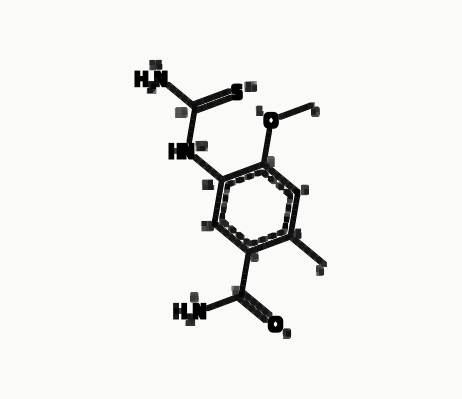 COc1cc(C)c(C(N)=O)cc1NC(N)=S